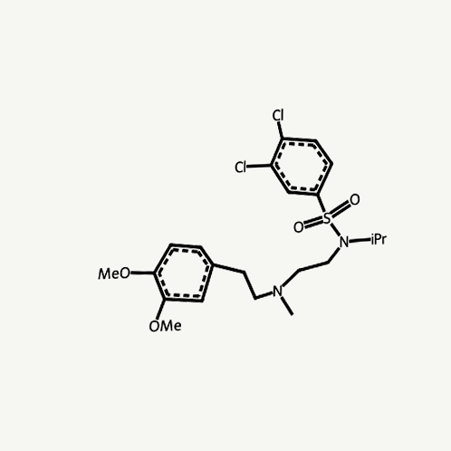 COc1ccc(CCN(C)CCN(C(C)C)S(=O)(=O)c2ccc(Cl)c(Cl)c2)cc1OC